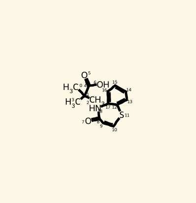 CC(C)(C)C(=O)O.O=C1C=CSc2ccccc2N1